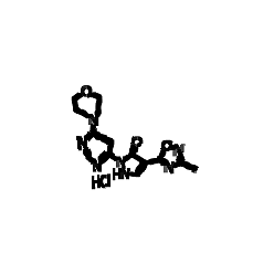 Cc1noc(-c2c[nH]n(-c3cc(N4CCOCC4)ncn3)c2=O)n1.Cl